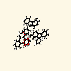 C1=CCC2C(=C1)N(c1cccc(N(c3ccc4c(c3)C3(CCCC3)c3ccccc3-4)c3ccccc3-c3ccccc3-c3ccccc3-c3ccccc3)c1)c1ccccc12